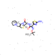 CC(C)(O/N=C(\C(=O)N[C@@H]1C(=O)N2C(C(=O)O)=C(CN3CCCCC3)CS[C@H]12)c1csc(N)n1)C(=O)O